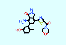 Cc1ccc(O)cc1-c1cc(-c2ncc(C(=O)N3CCOCC3)s2)c2c(c1N)C(=O)NC2